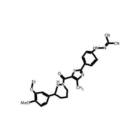 CCOc1cc(C2CCCN(C(=O)c3sc(-c4ccc(NN=C(C#N)C#N)cc4)nc3C)N2)ccc1OC